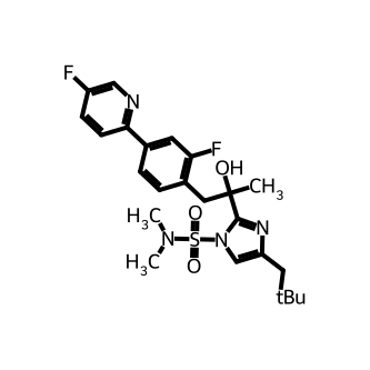 CN(C)S(=O)(=O)n1cc(CC(C)(C)C)nc1C(C)(O)Cc1ccc(-c2ccc(F)cn2)cc1F